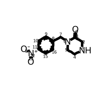 O=C1CNCCN1Cc1ccc([N+](=O)[O-])cc1